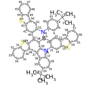 CC(C)(C)c1ccc(N2B3c4cc5c(cc4-n4c6ccc(C(C)(C)C)cc6c6c7c(sc8ccccc87)c(c3c64)-c3cc4sc6ccccc6c4cc32)sc2ccccc25)cc1